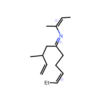 C=CC(C)C/C(CC/C=C\CC)=N\C(C)=C/C